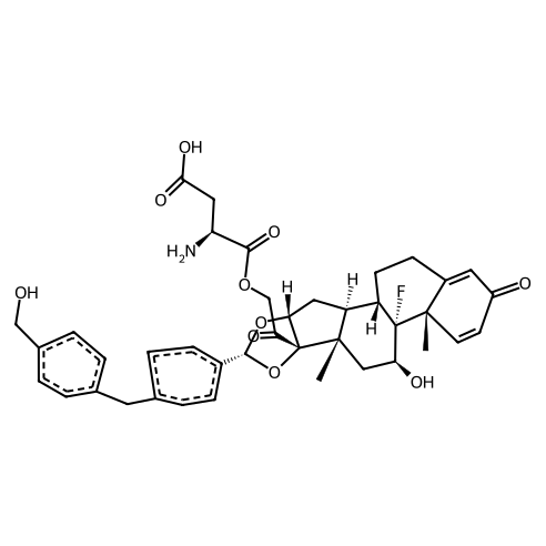 C[C@]12C=CC(=O)C=C1CC[C@H]1[C@@H]3C[C@H]4O[C@@H](c5ccc(Cc6ccc(CO)cc6)cc5)O[C@@]4(C(=O)COC(=O)[C@@H](N)CC(=O)O)[C@@]3(C)C[C@H](O)[C@@]12F